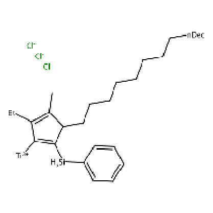 CCCCCCCCCCCCCCCCCCC1C(C)=C(CC)[C]([Ti+3])=C1[SiH2]c1ccccc1.[Cl-].[Cl-].[Cl-]